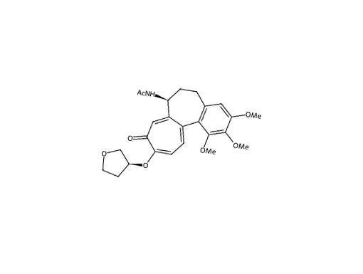 COc1cc2c(c(OC)c1OC)-c1ccc(O[C@H]3CCOC3)c(=O)cc1[C@@H](NC(C)=O)CC2